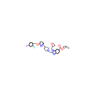 COC(=O)c1ccc2nc(CN3CCC(c4cccc(OCc5ccc(I)cc5F)n4)CC3)n(C[C@@H]3CCO3)c2c1